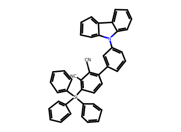 N#Cc1c(-c2cccc(-n3c4ccccc4c4ccccc43)c2)ccc([Si](c2ccccc2)(c2ccccc2)c2ccccc2)c1C#N